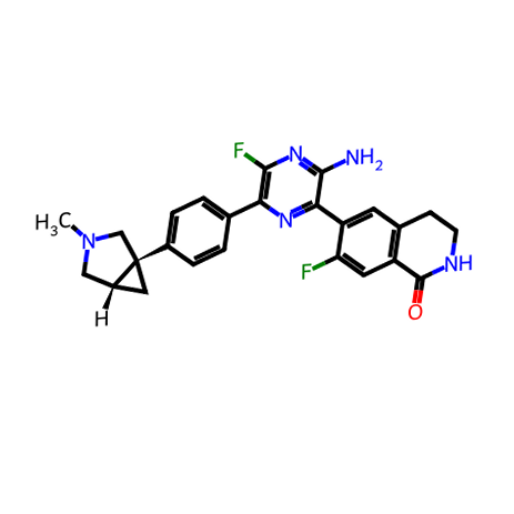 CN1C[C@H]2C[C@@]2(c2ccc(-c3nc(-c4cc5c(cc4F)C(=O)NCC5)c(N)nc3F)cc2)C1